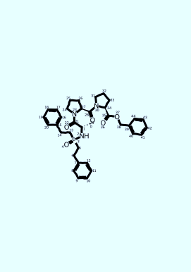 C[C@H](NP(=O)(CCc1ccccc1)CCc1ccccc1)C(=O)N1CCC[C@H]1C(=O)N1CCC[C@H]1C(=O)OCc1ccccc1